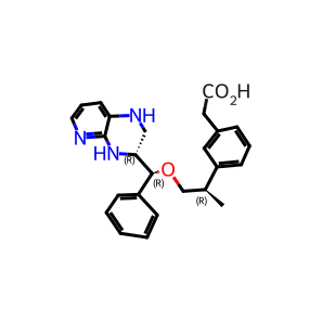 C[C@@H](CO[C@H](c1ccccc1)[C@H]1CNc2cccnc2N1)c1cccc(CC(=O)O)c1